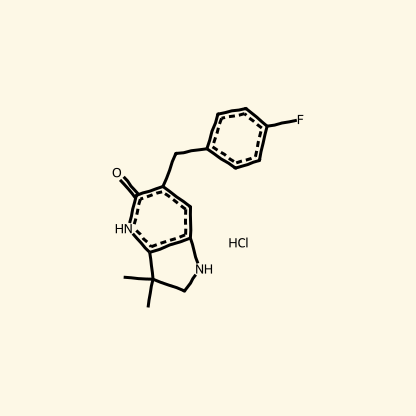 CC1(C)CNc2cc(Cc3ccc(F)cc3)c(=O)[nH]c21.Cl